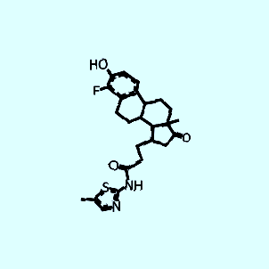 Cc1cnc(NC(=O)CCC2CC(=O)C3(C)CCC4c5ccc(O)c(F)c5CCC4C23)s1